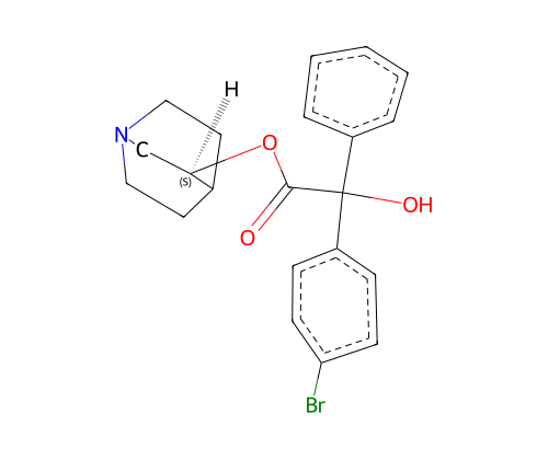 O=C(O[C@@H]1CN2CCC1CC2)C(O)(c1ccccc1)c1ccc(Br)cc1